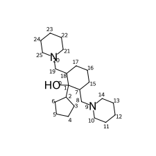 OC1(C2CCCC2)C(CN2CCCCC2)CCCC1CN1CCCCC1